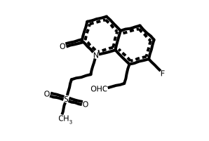 CS(=O)(=O)CCn1c(=O)ccc2ccc(F)c(CC=O)c21